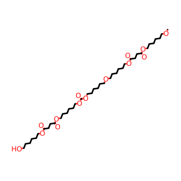 COCCCCCCOC(=O)CCC(=O)OCCCCCCOCCCCCCOC(=O)OCCCCCCOC(=O)CCC(=O)OCCCCCCO